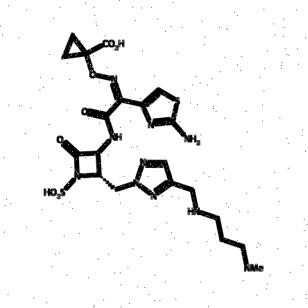 CNCCCNCc1cnn(C[C@H]2C(NC(=O)/C(=N\OC3(C(=O)O)CC3)c3csc(N)n3)C(=O)N2S(=O)(=O)O)n1